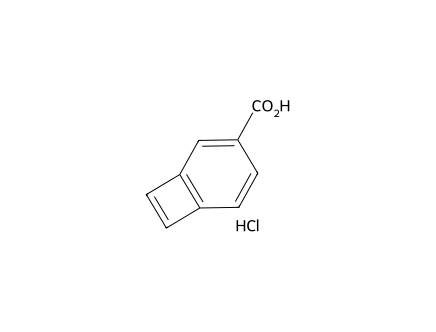 Cl.O=C(O)c1ccc2c(c1)C=C2